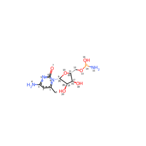 Cc1cc(N)nc(=O)n1[C@@H]1O[C@H](COP(N)O)[C@@H](O)[C@H]1O